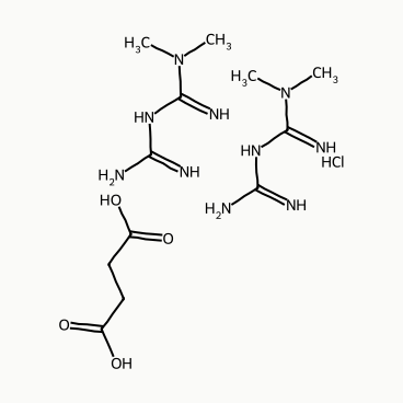 CN(C)C(=N)NC(=N)N.CN(C)C(=N)NC(=N)N.Cl.O=C(O)CCC(=O)O